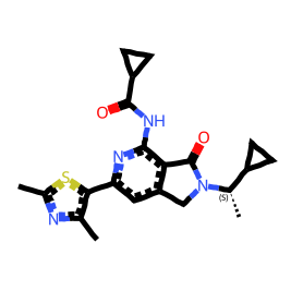 Cc1nc(C)c(-c2cc3c(c(NC(=O)C4CC4)n2)C(=O)N([C@@H](C)C2CC2)C3)s1